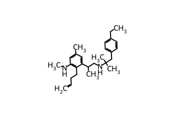 C=CCCc1c(NC)cc(C)cc1C(C)CNC(C)(C)Cc1ccc(CC)cc1